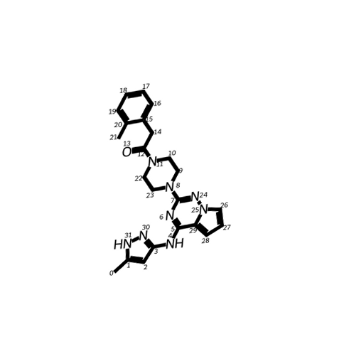 Cc1cc(Nc2nc(N3CCN(C(=O)Cc4ccccc4C)CC3)nn3cccc23)n[nH]1